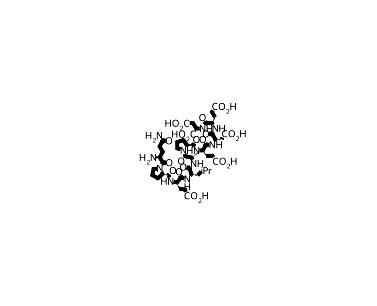 CC(C)C[C@H](NC(=O)[C@H](CCC(=O)O)NC(=O)[C@@H]1CCCN1C(=O)[C@@H](N)CCC(N)=O)C(=O)N[C@@H](C)C(=O)N1CCC[C@H]1C(=O)N[C@@H](CCC(=O)O)C(=O)N[C@@H](CC(=O)O)C(=O)N[C@@H](CCC(=O)O)C(=O)N[C@@H](CC(=O)O)C(=O)O